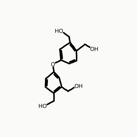 OCc1ccc(Oc2ccc(CO)c(CO)c2)cc1CO